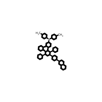 Cc1ccc(N(c2ccc(C)cc2)c2ccc3c(c2)c2ccccc2c2c(-c4ccccc4)cc(-c4ccc(-c5ccc6ccccc6c5)cc4)c(-c4ccccc4)c32)cc1